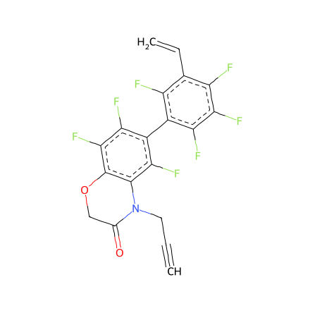 C#CCN1C(=O)COc2c(F)c(F)c(-c3c(F)c(F)c(F)c(C=C)c3F)c(F)c21